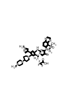 COc1cc(N2CCC(N3CCN(C)CC3)CC2)c(-c2cnn(C)c2)cc1Nc1ncc(Br)c(Nc2ccc3nccnc3c2P(C)(C)=O)n1.O=C(O)C(F)(F)F